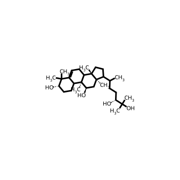 CC(CC[C@@H](O)C(C)(C)O)C1CC[C@@]2(C)C3CC=C4C(CC[C@H](O)C4(C)C)[C@]3(C)[C@H](O)C[C@]12C